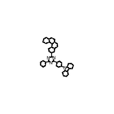 c1ccc(-c2nc(-c3ccc(-n4c5ccccc5c5ccccc54)cc3)nc(-c3ccc4c(ccc5ccc6ccccc6c54)c3)n2)cc1